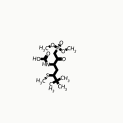 COP(=O)(CC(=O)C(CC(SC)C(C)(C)C)NC(=O)O)OC